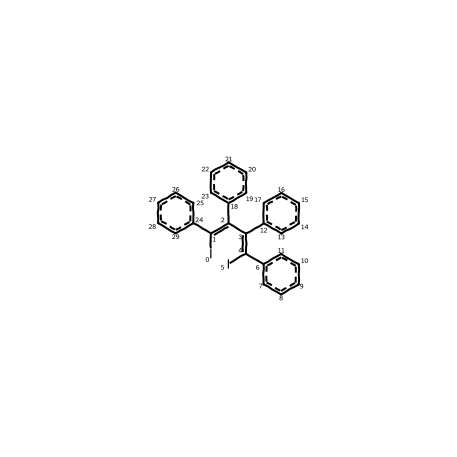 I/C(=C(\C(=C(/I)c1ccccc1)c1ccccc1)c1ccccc1)c1ccccc1